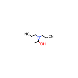 CC(O)N(CCC#N)CCC#N